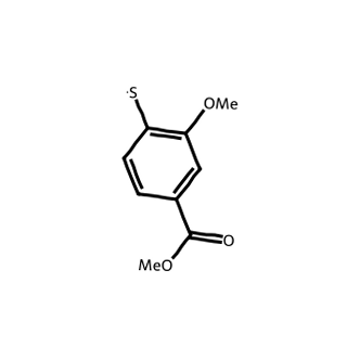 COC(=O)c1ccc([S])c(OC)c1